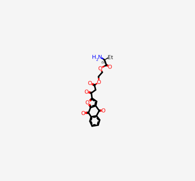 CC[C@H](N)C(=O)OCCOC(=O)CC(=O)c1cc2c(o1)C(=O)c1ccccc1C2=O